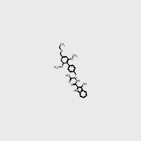 CCOCC1=CC(OC)=C(c2ccc(C[C@H](NC(=O)c3[nH]c4ccccc4c3O)C(=O)O)cc2)C(OC)C1